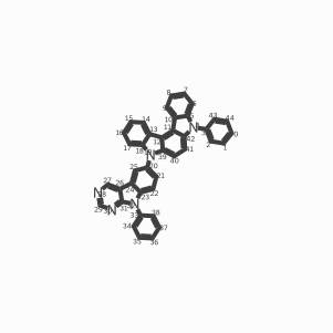 c1ccc(-n2c3ccccc3c3c4c5ccccc5n(-c5ccc6c(c5)c5cncnc5n6-c5ccccc5)c4ccc32)cc1